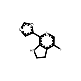 Fc1cnc(-c2cnco2)c2c1CCN2